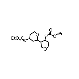 CCOC(=O)OC1CCOC(C2COCCC2OC(=O)OC(C)C)C1